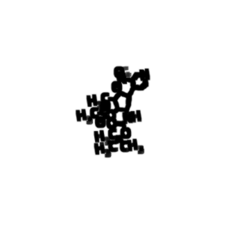 CC1CC(c2ccncc2[N+](=O)[O-])=CC(NC(=O)OC(C)(C)C)C1OS(C)(=O)=O